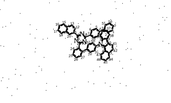 c1ccc(-c2ccc(-c3nc(-c4ccc5ccccc5c4)nc(-c4ccccc4-c4ccc(-n5c6ccccc6c6ccc7ccccc7c65)cc4)n3)cc2)cc1